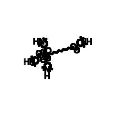 CC1(C)CCC(C(=O)OCCCCCCCCCCC(OC(=O)C2CCC(C)(C)NC(C)(C)C2)C(OC(=O)C2CCC(C)(C)NC(C)(C)C2)OC(=O)C2CCC(C)(C)NC(C)(C)C2)CC(C)(C)N1